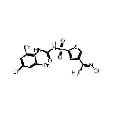 CC(=NO)c1csc(S(=O)(=O)NC(=O)Nc2c(C(C)C)cc(Cl)cc2C(C)C)c1